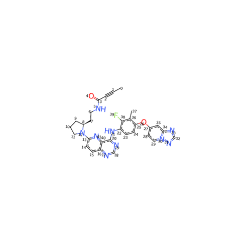 CC#CC(=O)NCC[C@@H]1CCCN1c1ccc2ncnc(Nc3ccc(Oc4ccn5ncnc5c4)c(C)c3F)c2n1